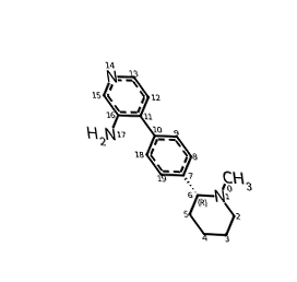 CN1CCCC[C@@H]1c1ccc(-c2ccncc2N)cc1